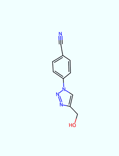 N#Cc1ccc(-n2cc(CO)nn2)cc1